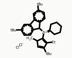 CCC1=[C]([Zr+2](=[C]2CCCCC2)[CH]2c3ccc(C(C)(C)C)cc3-c3cc(C(C)(C)C)ccc32)C(C)C=C1C(C)(C)C.[Cl-].[Cl-]